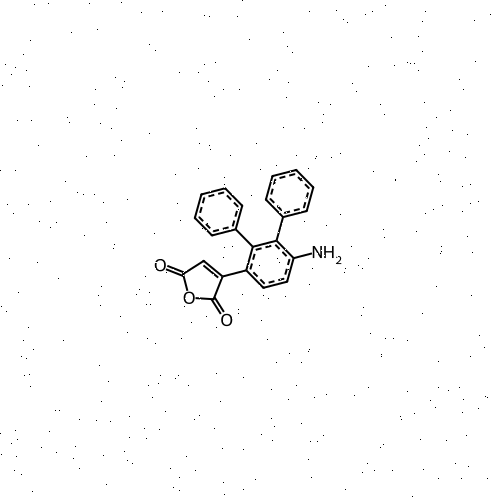 Nc1ccc(C2=CC(=O)OC2=O)c(-c2ccccc2)c1-c1ccccc1